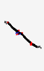 CCCCCCCCCCCCCCCCCC(=O)NCC(O)CNC(=O)CCCCCCCCCCCCCCCOC(=O)CCCCCCC